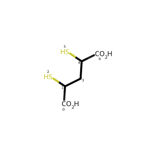 O=C(O)C(S)CC(S)C(=O)O